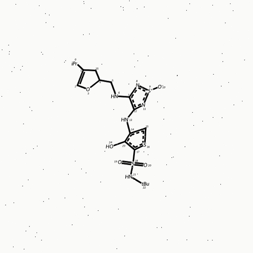 CC(C)C1=COC(CNc2n[s+]([O-])nc2Nc2csc(S(=O)(=O)NC(C)(C)C)c2O)C1